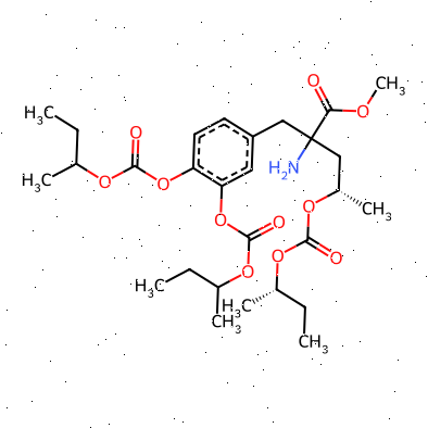 CCC(C)OC(=O)Oc1ccc(CC(N)(C[C@H](C)OC(=O)O[C@@H](C)CC)C(=O)OC)cc1OC(=O)OC(C)CC